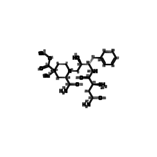 CC(C)(C)OC(=O)[N+]1(C(C)(C)C)CCN(C[C@@H](O)[C@H](Cc2ccccc2)NC(=O)[C@@H](N)CC(N)=O)C(C(N)=O)C1